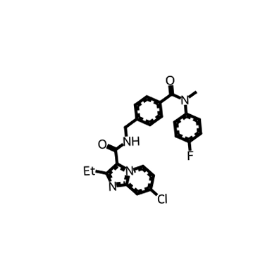 CCc1nc2cc(Cl)ccn2c1C(=O)NCc1ccc(C(=O)N(C)c2ccc(F)cc2)cc1